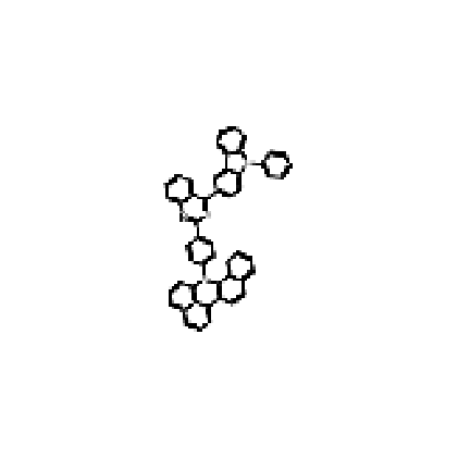 c1ccc(-n2c3ccccc3c3cc(-c4nc(-c5ccc(N6c7c(ccc8ccccc78)-c7cccc8cccc6c78)cc5)nc5ccccc45)ccc32)cc1